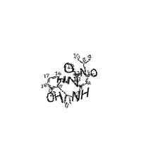 CC(Nc1cc(=O)n(C(C)C)c(=O)[nH]1)c1ccccc1O